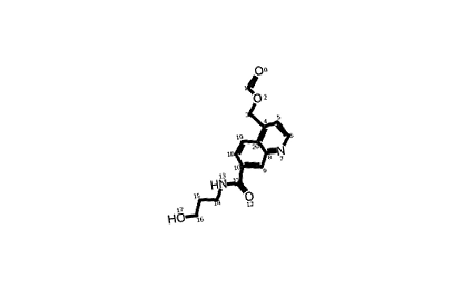 O=COCc1ccnc2cc(C(=O)NCCCO)ccc12